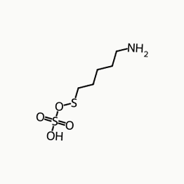 NCCCCCSOS(=O)(=O)O